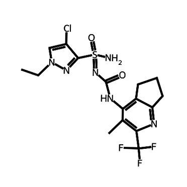 CCn1cc(Cl)c(S(N)(=O)=NC(=O)Nc2c(C)c(C(F)(F)F)nc3c2CCC3)n1